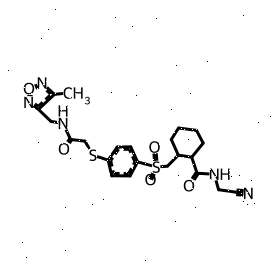 Cc1nonc1CNC(=O)CSc1ccc(S(=O)(=O)CC2CCCCC2C(=O)NCC#N)cc1